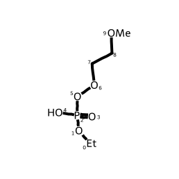 CCOP(=O)(O)OOCCOC